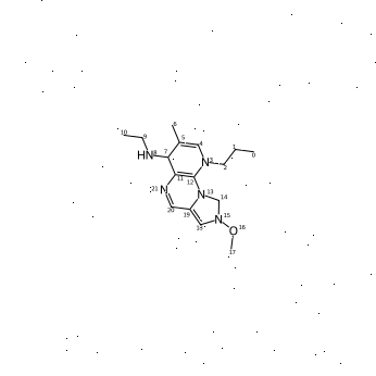 CCCN1C=C(C)C(NCC)C2=C1N1CN(OC)C=C1C=N2